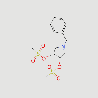 CS(=O)(=O)O[C@@H]1CN(Cc2ccccc2)C[C@H]1OS(C)(=O)=O